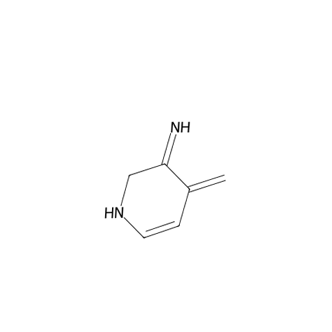 C=C1C=CNCC1=N